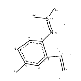 C=Cc1cc(C)ccc1N=S(C)C